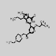 CCCc1c2nc(-c3cc(C(=O)CN4CCN(CC)CC4)cnc3OCC(C)C)[nH]c(=O)c2nn1C